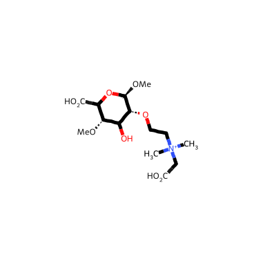 CO[C@@H]1C(C(=O)O)O[C@@H](OC)[C@H](OCC[N+](C)(C)CC(=O)O)C1O